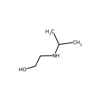 CC(C)NC[CH]O